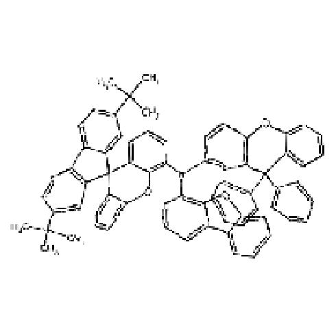 CC(C)(C)c1ccc2c(c1)C1(c3ccccc3Oc3c(N(c4ccc5c(c4)C(c4ccccc4)(c4ccccc4)c4ccccc4O5)c4cccc5c4oc4ccccc45)cccc31)c1cc(C(C)(C)C)ccc1-2